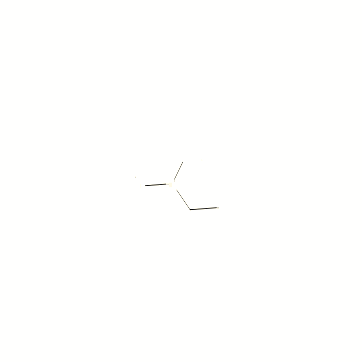 CC[CH2][In]([CH3])[CH2]C